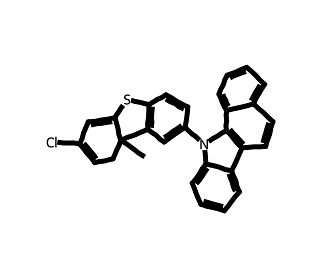 CC12CC=C(Cl)C=C1Sc1ccc(-n3c4ccccc4c4ccc5ccccc5c43)cc12